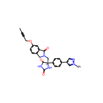 CC#CCOc1ccc2c(c1)C(=O)N(C[C@@]1(c3ccc(-c4cnn(C(C)C)c4)cc3)NC(=O)NC1=O)C2